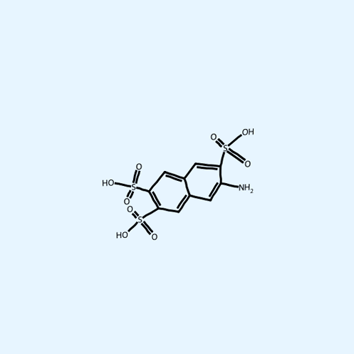 Nc1cc2cc(S(=O)(=O)O)c(S(=O)(=O)O)cc2cc1S(=O)(=O)O